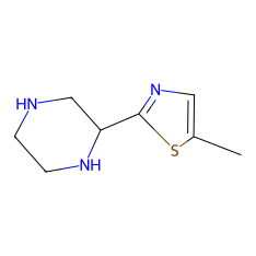 Cc1cnc(C2CNCCN2)s1